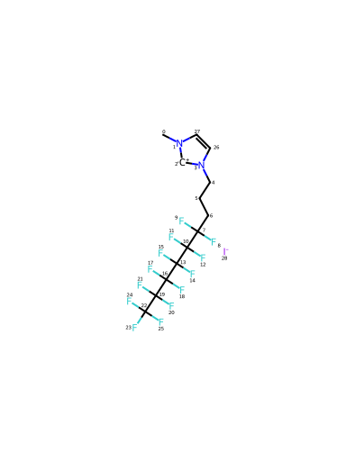 CN1[C+]N(CCCC(F)(F)C(F)(F)C(F)(F)C(F)(F)C(F)(F)C(F)(F)F)C=C1.[I-]